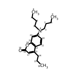 CCCCN(CCCC)c1ccc2c(CCC)cc(=O)oc2c1